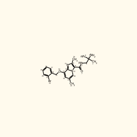 CCCC(C)(N)CNC(=O)c1c(C)nc2c(OCc3ccccc3Br)cc(C)cn12